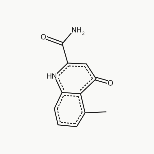 Cc1cccc2[nH]c(C(N)=O)cc(=O)c12